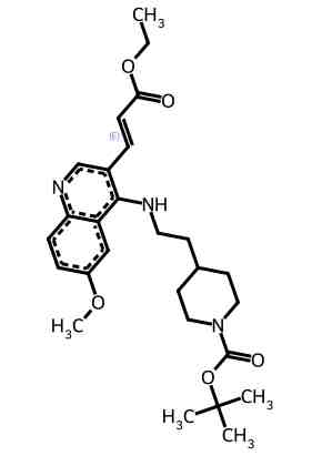 CCOC(=O)/C=C/c1cnc2ccc(OC)cc2c1NCCC1CCN(C(=O)OC(C)(C)C)CC1